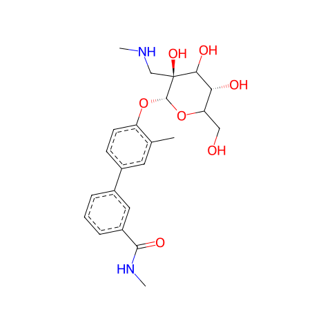 CNC[C@]1(O)C(O)[C@H](O)C(CO)O[C@@H]1Oc1ccc(-c2cccc(C(=O)NC)c2)cc1C